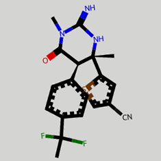 CN1C(=N)N[C@](C)(c2cc(C#N)cs2)[C@@H](c2ccc(C(C)(F)F)cc2)C1=O